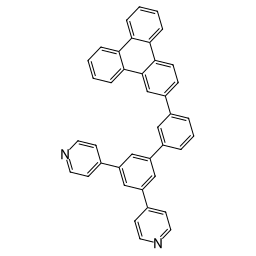 c1cc(-c2cc(-c3ccncc3)cc(-c3ccncc3)c2)cc(-c2ccc3c4ccccc4c4ccccc4c3c2)c1